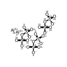 O=S(=O)([O-])OS(=O)(=O)[O-].O=S(=O)([O-])OS(=O)(=O)[O-].O=S(=O)([O-])OS(=O)(=O)[O-].[Al+3].[Al+3]